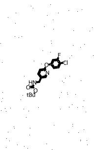 CC(C)(C)OC(=O)NCc1ccc(Oc2ccc(Cl)c(F)c2)nc1